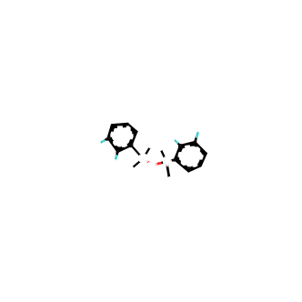 C[Si](C)(O[Si](C)(C)c1cccc(F)c1F)c1cccc(F)c1F